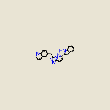 c1cnc2ccc(Cc3nnc4ccc(-c5cc6ccccc6[nH]5)nn34)cc2c1